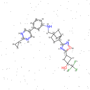 OC1(C(F)(F)F)CC(c2nc(C3=C4CC(CNc5cccc(-c6cnc(C7CC7)nc6)c5)(CC3)C4)no2)C1